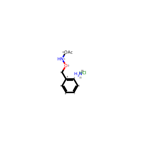 CC(=O)ONOCc1ccccc1.Cl.N